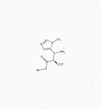 Cn1cncc1C(N)[C@@H](C(=O)O)C(=O)OC(C)(C)C